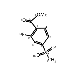 COC(=O)c1ccc(S(C)(=O)=O)cc1F